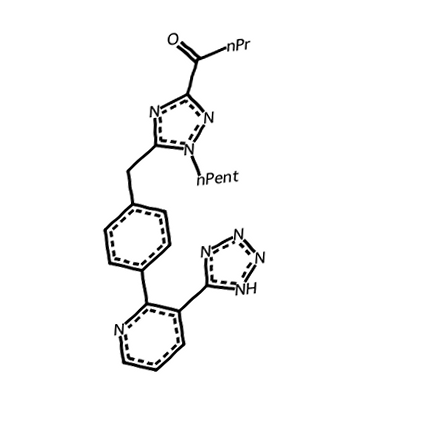 CCCCCn1nc(C(=O)CCC)nc1Cc1ccc(-c2ncccc2-c2nnn[nH]2)cc1